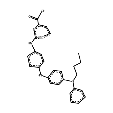 CCCCN(c1ccccc1)c1ccc(Nc2ccc(Nc3cccc(C(=O)O)n3)cc2)cc1